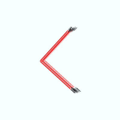 [O-2].[O-2].[O-2].[O-2].[O-2].[O-2].[O-2].[O-2].[O-2].[O-2].[O-2].[O-2].[O-2].[O-2].[O-2].[O-2].[O-2].[O-2].[O-2].[O-2].[O-2].[O-2].[O-2].[O-2].[O-2].[O-2].[O-2].[O-2].[O-2].[O-2].[O-2].[O-2].[O-2].[O-2].[O-2].[O-2].[O-2].[O-2].[O-2].[O-2].[O-2].[O-2].[O-2].[O-2].[O-2].[O-2].[O-2].[O-2].[O-2].[O-2].[O-2].[O-2].[O-2].[O-2].[O-2].[O-2].[O-2].[O-2].[O-2].[O-2].[O-2].[O-2].[O-2].[O-2].[O-2].[O-2].[O-2].[O-2].[O-2].[O-2].[O-2].[O-2].[O-2].[O-2].[O-2].[Zn+2].[Zn+2].[Zn+2].[Zn+2].[Zn+2].[Zn+2].[Zn+2].[Zn+2].[Zn+2]